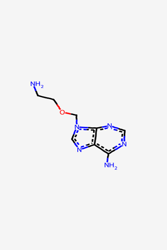 NCCOCn1cnc2c(N)ncnc21